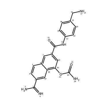 N=C(N)c1ccc2cc(C(=O)Nc3ccc(CN)cc3)cc(OC(N)=O)c2c1